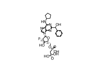 O=P(O)(O)CP(=O)(O)OC[C@H]1O[C@@H](n2cnc3c(NC4CCCC4)nc(C(O)c4ccccc4)nc32)[C@@H](F)[C@@H]1O